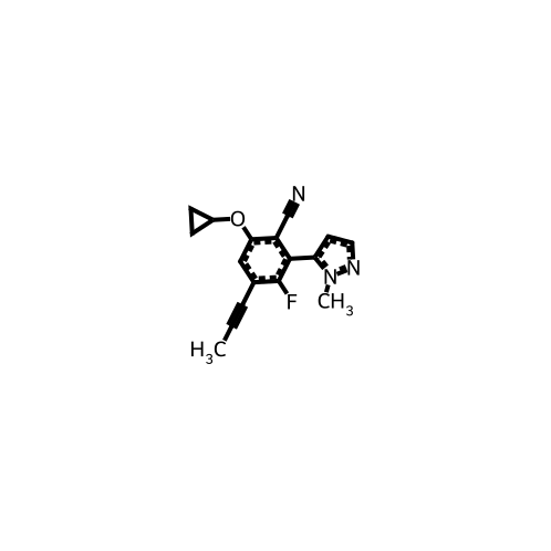 CC#Cc1cc(OC2CC2)c(C#N)c(-c2ccnn2C)c1F